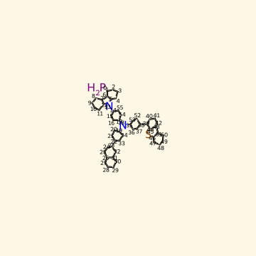 Pc1cccc2c1c1ccccc1n2-c1ccc(N(c2ccc(-c3ccc4ccccc4c3)cc2)c2ccc(-c3cccc4c3sc3ccccc34)cc2)cc1